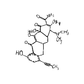 CC#Cc1ccc(O)c2c1CC1CC3C(N(C)C)C(O)=C(C(N)=O)C(=O)[C@@]3(O)C(O)=C1C2=O